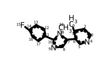 Cc1ccncc1-c1cnc(-c2ccc(F)cc2)n1C